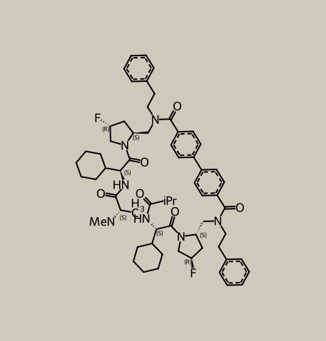 CN[C@@H](C)C(=O)N[C@H](C(=O)N1C[C@H](F)C[C@H]1CN(CCc1ccccc1)C(=O)c1ccc(-c2ccc(C(=O)N(CCc3ccccc3)C[C@@H]3C[C@@H](F)CN3C(=O)[C@@H](NC(=O)C(C)C)C3CCCCC3)cc2)cc1)C1CCCCC1